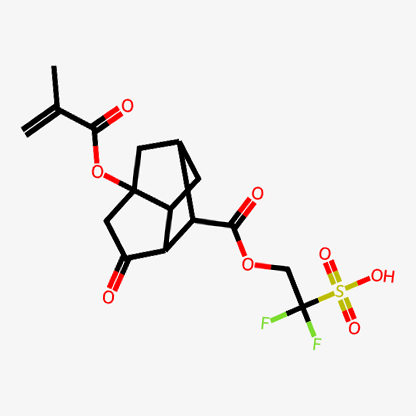 C=C(C)C(=O)OC12CC(=O)C3C(C(=O)OCC(F)(F)S(=O)(=O)O)C(CC31)C2